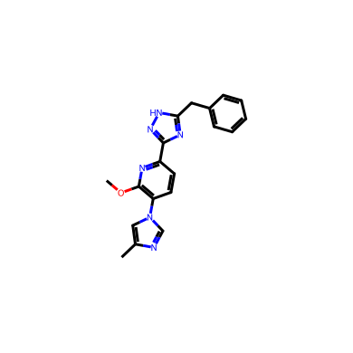 COc1nc(-c2n[nH]c(Cc3ccccc3)n2)ccc1-n1cnc(C)c1